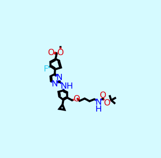 COC(=O)c1ccc(-c2ccnc(Nc3ccc(C4CC4)c(COCCCCNC(=O)OC(C)(C)C)c3)n2)c(F)c1